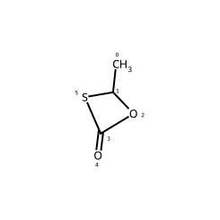 CC1OC(=O)S1